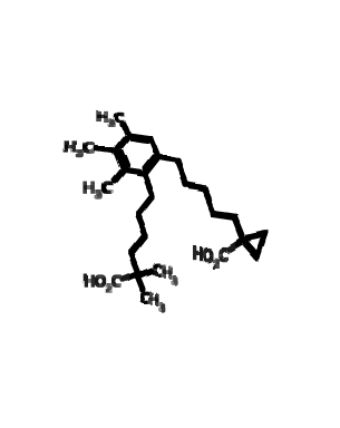 Cc1cc(CCCCCC2(C(=O)O)CC2)c(CCCCC(C)(C)C(=O)O)c(C)c1C